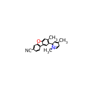 Cc1cc[n+](C)c(-c2cc3c(cc2C)oc2cc(C#N)ccc23)c1